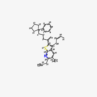 C=C(CCCC1(c2ccccc2)CCCC1)c1sc2nc(CC(C)(C)C)c(CC)cc2c1C/C=C\C